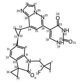 O=C1N(CC2(F)CC2)c2cc([C@H]3CC3c3cc(-c4c[nH]c(=O)[nH]c4=O)nn4ccnc34)ccc2C12CC2